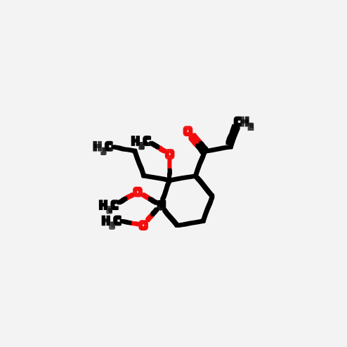 C=CC(=O)C1CCC[Si](OC)(OC)C1(CCC)OC